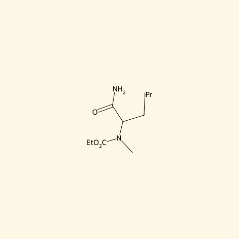 CCOC(=O)N(C)C(CC(C)C)C(N)=O